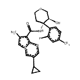 Cc1cn2cc(C3CC3)cnc2c1C(=O)N[C@]1(c2ccc(C(F)(F)F)cc2F)CCOC[C@H]1O